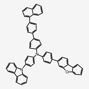 c1ccc2c(-c3ccc(-c4ccc(N(c5ccc(-c6ccc7c(c6)oc6ccccc67)cc5)c5ccc(-n6c7ccccc7c7ccccc76)cc5)cc4)cc3)cccc2c1